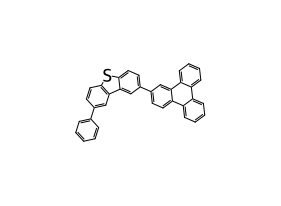 c1ccc(-c2ccc3sc4ccc(-c5ccc6c7ccccc7c7ccccc7c6c5)cc4c3c2)cc1